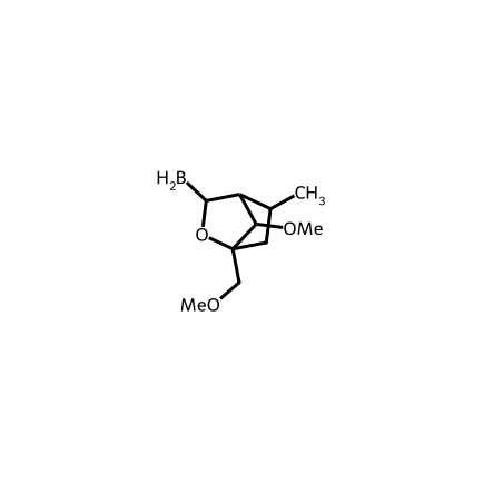 BC1OC2(COC)CC(C)C1C2OC